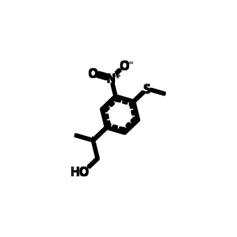 CSc1ccc([C](C)CO)cc1[N+](=O)[O-]